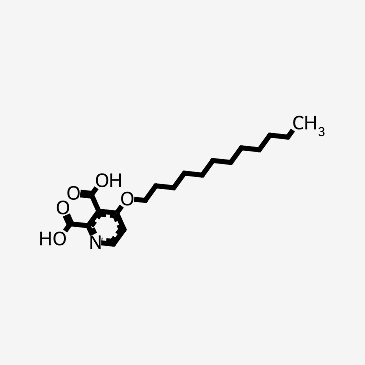 CCCCCCCCCCCCOc1ccnc(C(=O)O)c1C(=O)O